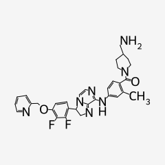 Cc1cc(NC2=NC=CN3C2=NCC3c2ccc(OCc3ccccn3)c(F)c2F)ccc1C(=O)N1CCC(CN)CC1